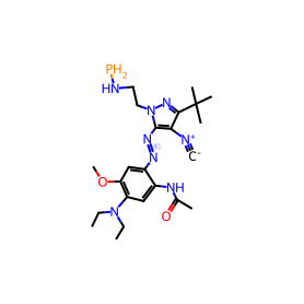 [C-]#[N+]c1c(C(C)(C)C)nn(CCNP)c1/N=N/c1cc(OC)c(N(CC)CC)cc1NC(C)=O